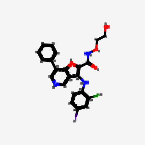 O=C(NOCCO)c1oc2c(-c3ccccc3)cncc2c1Nc1ccc(I)cc1F